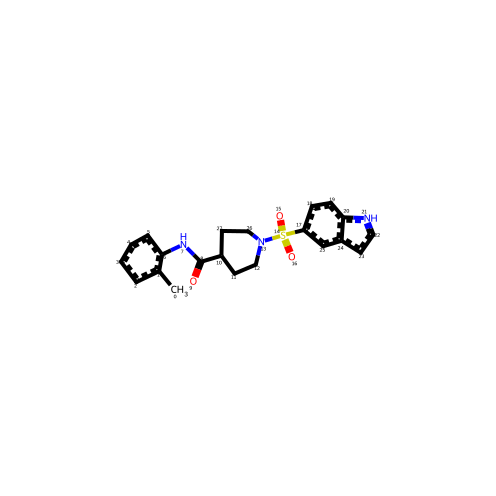 Cc1ccccc1NC(=O)C1CCN(S(=O)(=O)c2ccc3[nH]ccc3c2)CC1